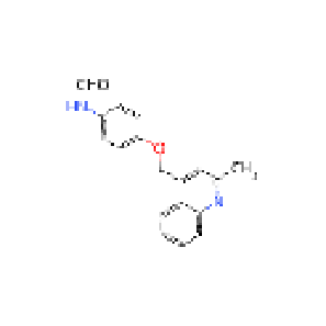 Cc1cc(COc2ccc(NC=O)cc2)c2ccccc2n1